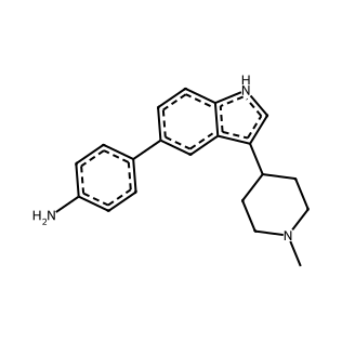 CN1CCC(c2c[nH]c3ccc(-c4ccc(N)cc4)cc23)CC1